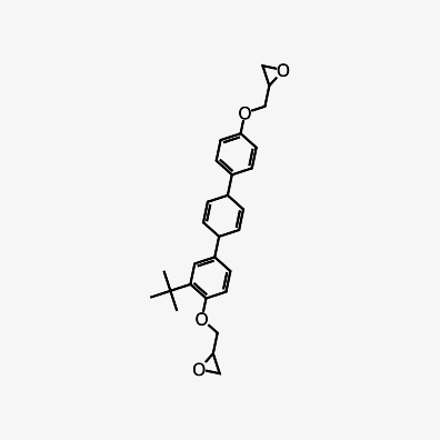 CC(C)(C)c1cc(C2C=CC(c3ccc(OCC4CO4)cc3)C=C2)ccc1OCC1CO1